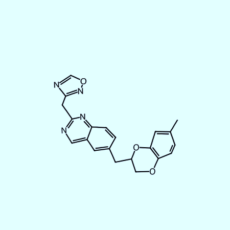 Cc1ccc2c(c1)OC(Cc1ccc3nc(Cc4ncon4)ncc3c1)CO2